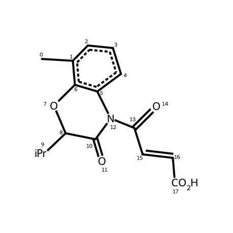 Cc1cccc2c1OC(C(C)C)C(=O)N2C(=O)/C=C/C(=O)O